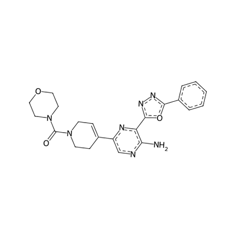 Nc1ncc(C2=CCN(C(=O)N3CCOCC3)CC2)nc1-c1nnc(-c2ccccc2)o1